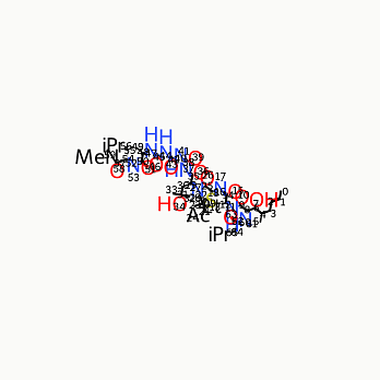 C/C=C/C[C@@H](C)[C@@H](O)[C@@H](C(=O)N[C@@H](CC)C(=O)N(C)[C@H](SC(C)(C)CC(C)=O)C(=O)N(C)[C@@H](CC(C)(C)O)C(=O)NC(=O)N(C)C(=O)NC(=O)N[C@H](C)C(=O)N(C)[C@@H](CC(C)C)C(=O)NC)N(C)C(=O)CC(C)C